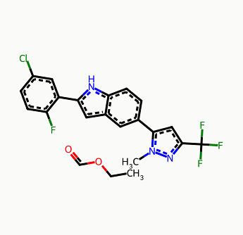 CCOC=O.Cn1nc(C(F)(F)F)cc1-c1ccc2[nH]c(-c3cc(Cl)ccc3F)cc2c1